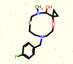 CN1CCCCN(Cc2ccc(F)cc2)CCOC2(CC2)C1O